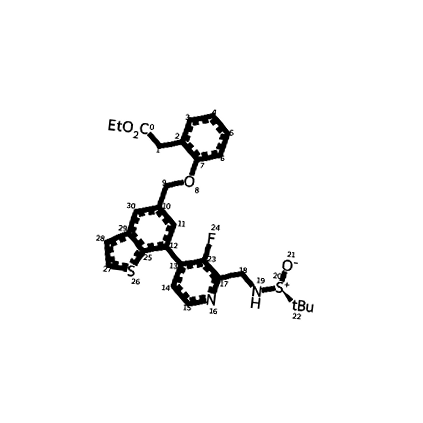 CCOC(=O)Cc1ccccc1OCc1cc(-c2ccnc(CN[S@@+]([O-])C(C)(C)C)c2F)c2sccc2c1